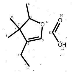 CCC1=COC(C)C1(C)C.O=CO